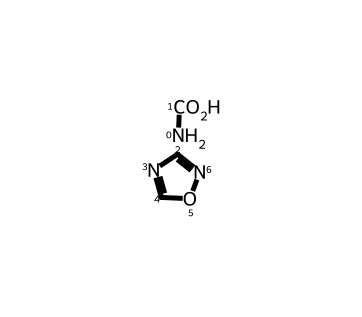 NC(=O)O.c1ncon1